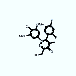 COc1cc(-n2nc(CO)c(=O)c(C)c2-c2ccc(F)cc2F)cc(OC)c1Cl